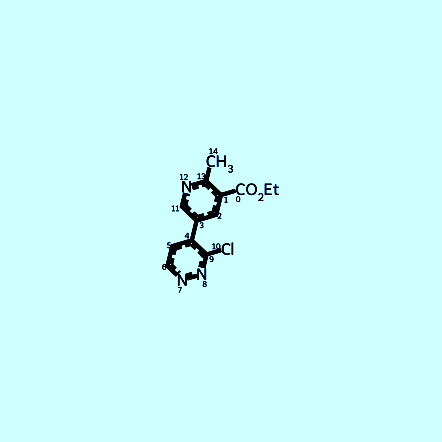 CCOC(=O)c1cc(-c2ccnnc2Cl)cnc1C